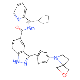 O=C(N[C@H](c1ccccn1)C1CCCC1)c1ccc2[nH]nc(-c3ccc(N4CCC45COC5)cc3)c2c1